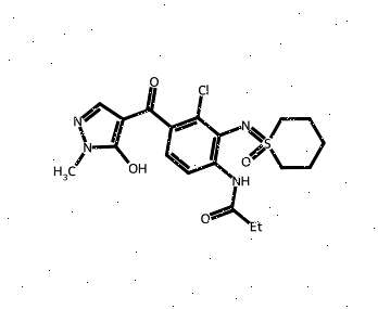 CCC(=O)Nc1ccc(C(=O)c2cnn(C)c2O)c(Cl)c1N=S1(=O)CCCCC1